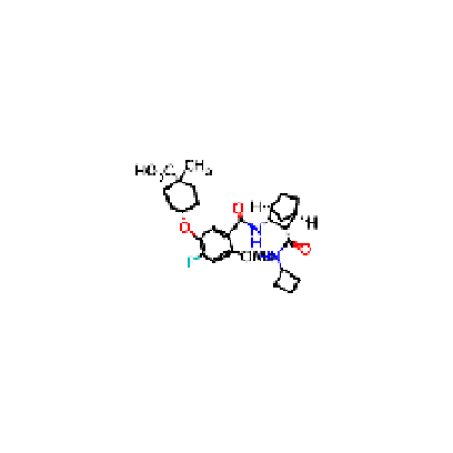 COc1cc(F)c(O[C@H]2CC[C@@](C)(C(=O)O)CC2)cc1C(=O)N[C@@H]1[C@H]2CC[C@H](C2)[C@@H]1C(=O)NC1CCC1